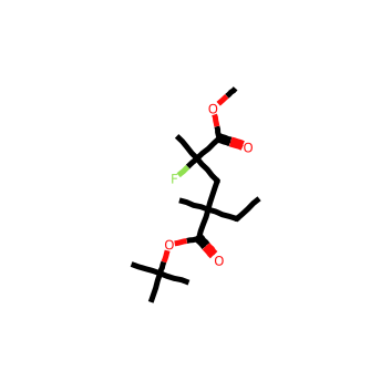 CCC(C)(CC(C)(F)C(=O)OC)C(=O)OC(C)(C)C